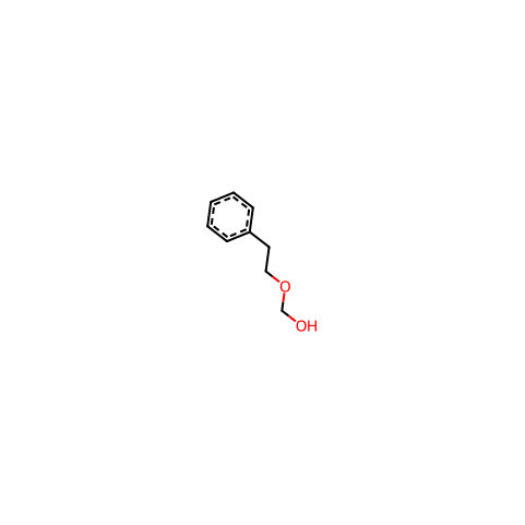 OCOCCc1ccccc1